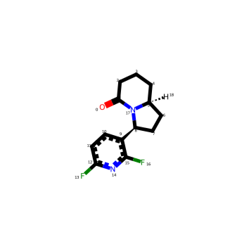 O=C1CCC[C@H]2CC[C@@H](c3ccc(F)nc3F)N12